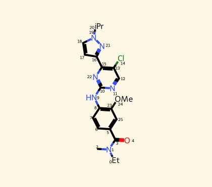 CCN(C)C(=O)c1ccc(Nc2ncc(Cl)c(-c3ccn(C(C)C)n3)n2)c(OC)c1